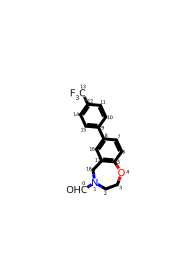 O=CN1CCOc2ccc(-c3ccc(C(F)(F)F)cc3)cc2C1